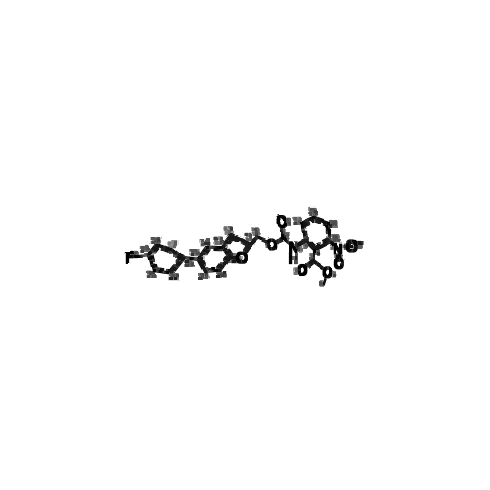 COC(=O)c1c(NC(=O)OCc2cc3cc(-c4ccc(F)cc4)ccc3o2)cccc1[N+](=O)[O-]